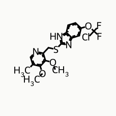 COc1c(C)cnc(CSc2nc3cc(OC(F)(F)Cl)ccc3[nH]2)c1OC